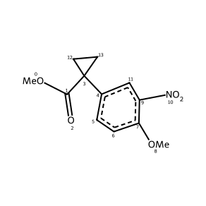 COC(=O)C1(c2ccc(OC)c([N+](=O)[O-])c2)CC1